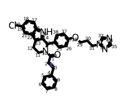 O=C(/C=C/c1ccccc1)N1CCc2c([nH]c3ccc(Cl)cc23)C1c1ccc(OCCCn2cncn2)cc1